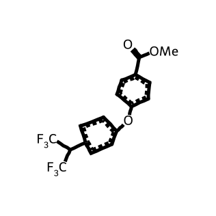 COC(=O)c1ccc(Oc2ccc(C(C(F)(F)F)C(F)(F)F)cc2)cc1